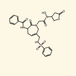 O=C1CC(N(O)C(=O)CN2CC(CNS(=O)(=O)c3ccccc3)=CCC(NC(=O)c3ccccc3)C2=O)CO1